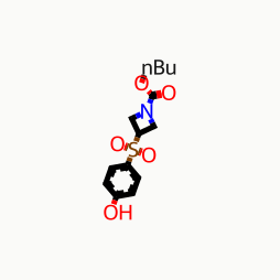 CCCCOC(=O)N1CC(S(=O)(=O)c2ccc(O)cc2)C1